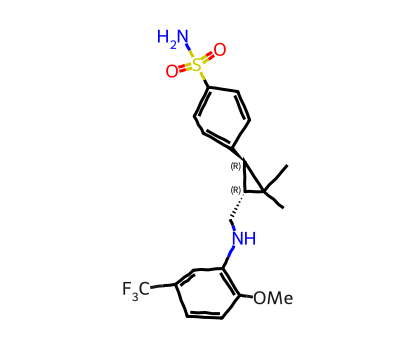 COc1ccc(C(F)(F)F)cc1NC[C@@H]1[C@@H](c2ccc(S(N)(=O)=O)cc2)C1(C)C